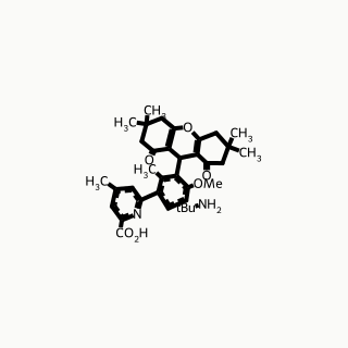 CC(C)(C)N.COc1ccc(-c2cc(C)cc(C(=O)O)n2)c(C)c1C1C2=C(CC(C)(C)CC2=O)OC2=C1C(=O)CC(C)(C)C2